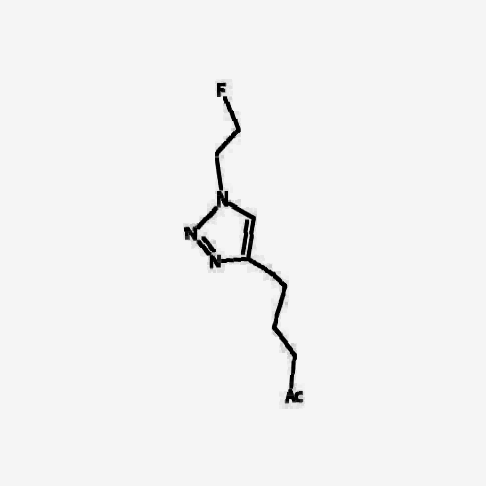 CC(=O)CCCc1cn(CCF)nn1